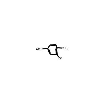 COc1ccc(C(F)(F)F)c(O)c1